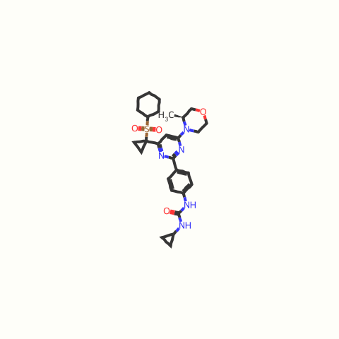 C[C@H]1COCCN1c1cc(C2(S(=O)(=O)C3CCCCC3)CC2)nc(-c2ccc(NC(=O)NC3CC3)cc2)n1